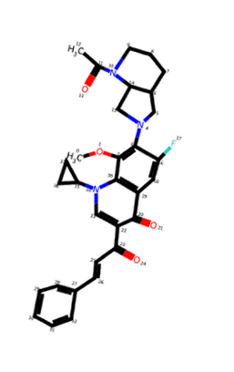 COc1c(N2CC3CCCN(C(C)=O)C3C2)c(F)cc2c(=O)c(C(=O)C=Cc3ccccc3)cn(C3CC3)c12